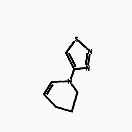 C1=CN(c2csnn2)CCC1